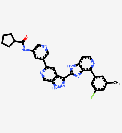 Cc1cc(F)cc(-c2nccc3[nH]c(-c4n[nH]c5cnc(-c6cncc(NC(=O)C7CCCC7)c6)cc45)nc23)c1